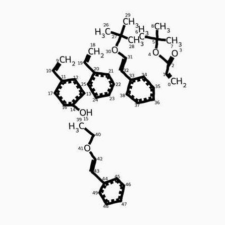 C=CC(=O)OC(C)(C)C.C=Cc1ccc(O)cc1.C=Cc1ccccc1.CC(C)(C)OC=Cc1ccccc1.CCOC=Cc1ccccc1